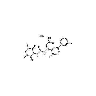 CC1=CN(C)C(=O)C(NC(=O)N[C@@H](CC(=O)O)c2cc(-c3cccc(C)c3)ccc2F)C1=O.[NaH]